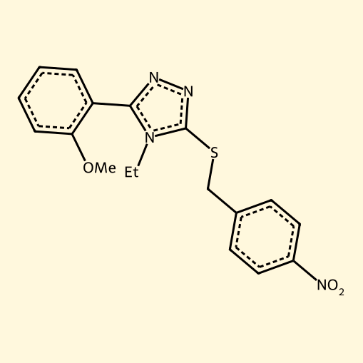 CCn1c(SCc2ccc([N+](=O)[O-])cc2)nnc1-c1ccccc1OC